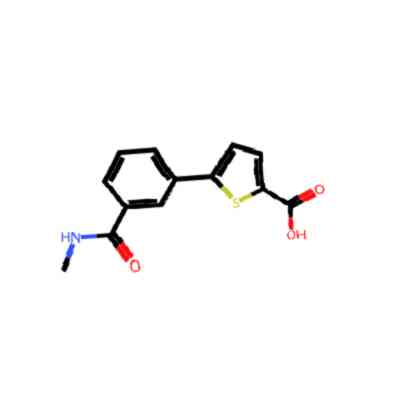 CNC(=O)c1cccc(-c2ccc(C(=O)O)s2)c1